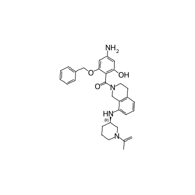 C=C(C)N1CCC[C@@H](Nc2cccc3c2CN(C(=O)c2c(O)cc(N)cc2OCc2ccccc2)CC3)C1